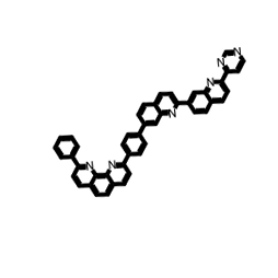 c1ccc(-c2ccc3ccc4ccc(-c5ccc(-c6ccc7ccc(-c8ccc9ccc(-c%10ccncn%10)nc9c8)nc7c6)cc5)nc4c3n2)cc1